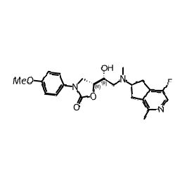 COc1ccc(N2C[C@H]([C@H](O)CN(C)C3Cc4c(F)cnc(C)c4C3)OC2=O)cc1